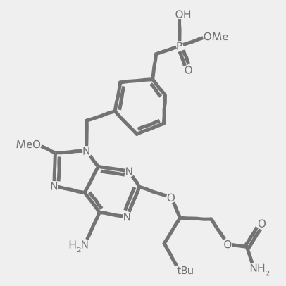 COc1nc2c(N)nc(OC(COC(N)=O)CC(C)(C)C)nc2n1Cc1cccc(CP(=O)(O)OC)c1